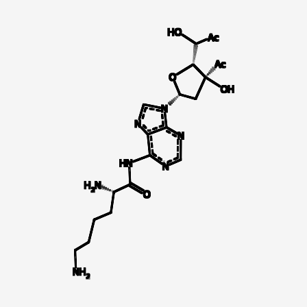 CC(=O)C(O)[C@H]1O[C@@H](n2cnc3c(NC(=O)[C@@H](N)CCCCN)ncnc32)C[C@@]1(O)C(C)=O